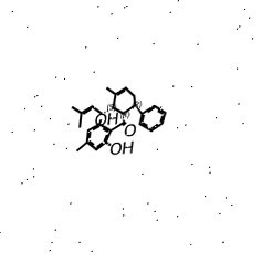 CC(C)=CC[C@@H]1C(C)=CC[C@@H](c2ccccc2)[C@@H]1C(=O)c1c(O)cc(C)cc1O